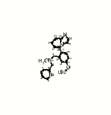 CN(Cc1ccccn1)Cc1cc(OC(C)(C)C)ccc1-c1cccc2nccn12